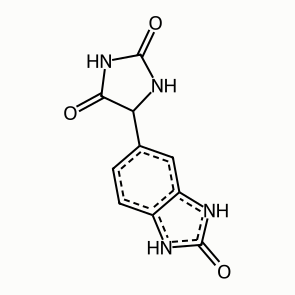 O=C1NC(=O)C(c2ccc3[nH]c(=O)[nH]c3c2)N1